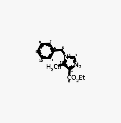 CCOC(=O)c1ncn(Cc2ccccc2)c1C